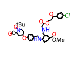 COC(=O)c1ccc(NCc2ccc(OC3CCN(OC(C)(C)C)C(=C=O)C3)cc2)c(CNCC(=O)OCCC(=O)c2ccc(Cl)cc2)c1